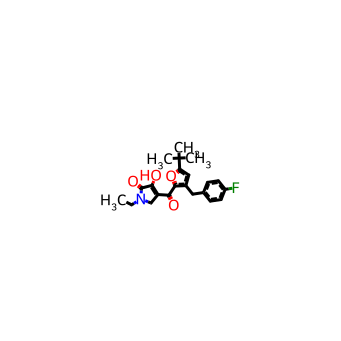 CCN1CC(C(=O)c2oc(C(C)(C)C)cc2Cc2ccc(F)cc2)=C(O)C1=O